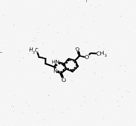 CCCCc1nc(=O)c2ccc(C(=O)OCC)cc2[nH]1